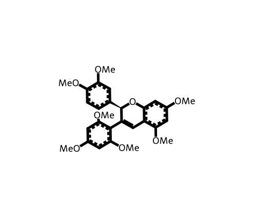 COc1cc(OC)c2c(c1)O[C@H](c1ccc(OC)c(OC)c1)C(c1c(OC)cc(OC)cc1OC)=C2